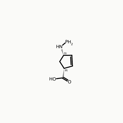 O=C(O)[C@H]1C=C[C@@H](NP)C1